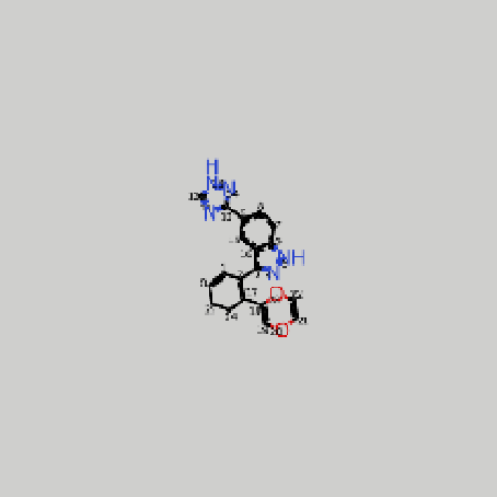 C1=CC(c2n[nH]c3ccc(-c4nc[nH]n4)cc23)=C(C2=COC=CO2)CC1